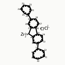 [Cl-].[Cl-].[Zr+2][CH]1c2cc(-c3ccccc3)ccc2-c2ccc(-c3ccccc3)cc21